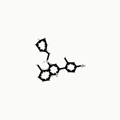 Cc1cc(C(C)(C)C)ccc1-c1cc(OCc2ccccc2)c2c(C)cccc2n1